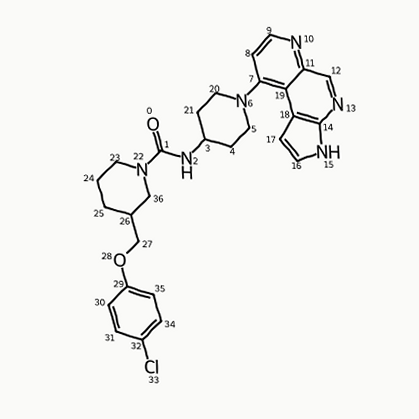 O=C(NC1CCN(c2ccnc3cnc4[nH]ccc4c23)CC1)N1CCCC(COc2ccc(Cl)cc2)C1